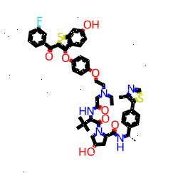 CCN(CCOc1ccc(Oc2c(C(=O)c3cccc(F)c3)sc3cc(O)ccc23)cc1)CC(=O)NC(C(=O)N1CC(O)CC1C(=O)N[C@@H](C)c1ccc(-c2scnc2C)cc1)C(C)(C)C